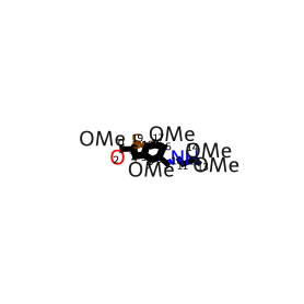 COC(=O)c1cc2c(OC)c(CNCC(OC)OC)cc(OC)c2s1